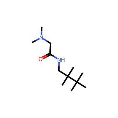 CN(C)CC(=O)NCC(C)(C)C(C)(C)C